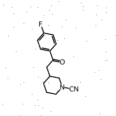 N#CN1CCCC(CC(=O)c2ccc(F)cc2)C1